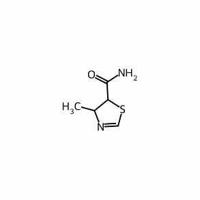 CC1N=CSC1C(N)=O